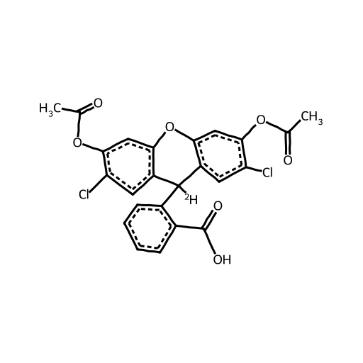 [2H]C1(c2ccccc2C(=O)O)c2cc(Cl)c(OC(C)=O)cc2Oc2cc(OC(C)=O)c(Cl)cc21